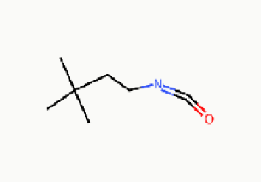 CC(C)(C)CCN=C=O